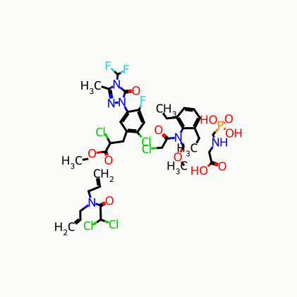 C=CCN(CC=C)C(=O)C(Cl)Cl.CCOC(=O)C(Cl)Cc1cc(-n2nc(C)n(C(F)F)c2=O)c(F)cc1Cl.CCc1cccc(CC)c1N(COC)C(=O)CCl.O=C(O)CNCP(=O)(O)O